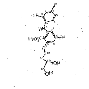 O=C(O)c1c(Nc2ccc(I)cc2F)cc(F)cc1OCC[C@@H](O)CO